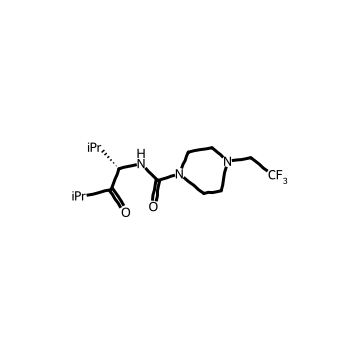 CC(C)C(=O)[C@@H](NC(=O)N1CCN(CC(F)(F)F)CC1)C(C)C